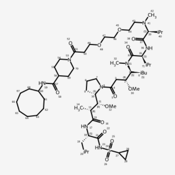 CC[C@H](C)[C@@H]([C@@H](CC(=O)N1CCC[C@H]1[C@H](OC)[C@@H](C)C(=O)N[C@@H](CC(C)C)C(=O)NS(=O)(=O)C1CC1)OC)N(C)C(=O)[C@@H](NC(=O)[C@H](C(C)C)N(C)CCOCCOCCC(=O)N1CCC(C(=O)NC2CCCCCCCC2)CC1)C(C)C